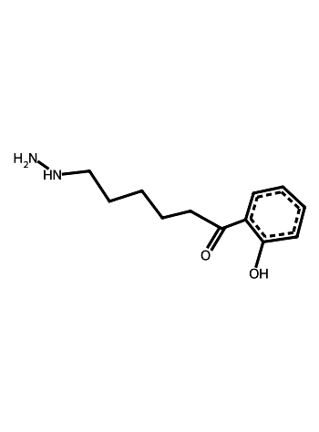 NNCCCCCC(=O)c1ccccc1O